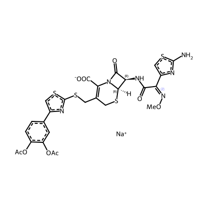 CO/N=C(\C(=O)N[C@@H]1C(=O)N2C(C(=O)[O-])=C(CSc3nc(-c4ccc(OC(C)=O)c(OC(C)=O)c4)cs3)CS[C@H]12)c1csc(N)n1.[Na+]